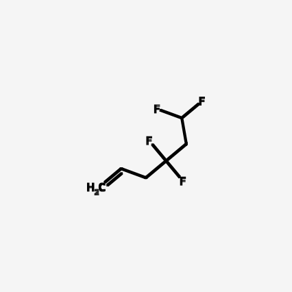 C=CCC(F)(F)CC(F)F